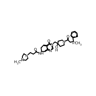 C[C@H](CC(=O)N1CCC(O)(Cn2cnc3c(c2=O)=CCC(NC(=O)CCN2CCN(C)CC2)C=3)CC1)c1ccccc1